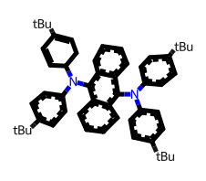 CC(C)(C)C1=CCC(N(c2ccc(C(C)(C)C)cc2)c2c3ccccc3c(N(c3ccc(C(C)(C)C)cc3)c3ccc(C(C)(C)C)cc3)c3ccccc23)C=C1